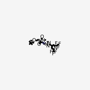 CN1C(=O)N(CCO[Si](C)(C)C(C)(C)C)C(=O)/C1=C/n1cnc(-c2cc(C(F)(F)F)nc(C(F)(F)F)c2)n1